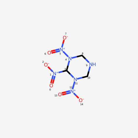 O=[N+]([O-])C1N([N+](=O)[O-])CNCN1[N+](=O)[O-]